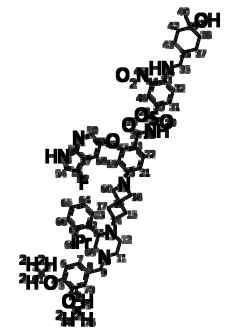 [2H]C([2H])([2H])Oc1ccc(CN2CCN(C3CC4(C3)CN(c3ccc(C(=O)NS(=O)(=O)c5ccc(NCC6CCC(C)(O)CC6)c([N+](=O)[O-])c5)c(Oc5cnc6[nH]cc(F)c6c5)c3)C4)[C@H](c3ccccc3C(C)C)C2)cc1OC([2H])([2H])[2H]